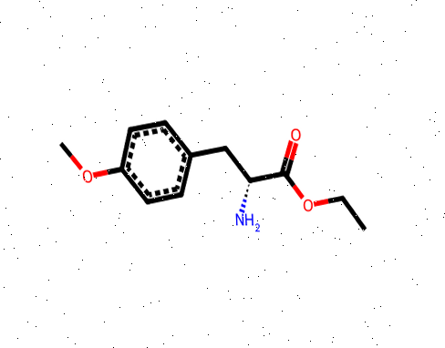 CCOC(=O)[C@H](N)Cc1ccc(OC)cc1